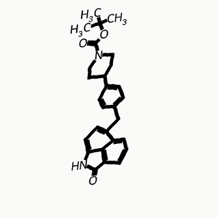 CC(C)(C)OC(=O)N1CCC(c2ccc(Cc3ccc4c5c(cccc35)C(=O)N4)cc2)CC1